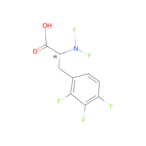 O=C(O)[C@@H](Cc1ccc(F)c(F)c1F)N(F)F